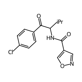 CC(C)C(NC(=O)c1cnoc1)C(=O)c1ccc(Cl)cc1